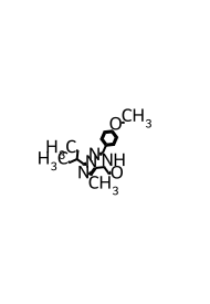 CCOc1ccc(C2=Nn3c(C(CC)CC)nc(C)c3C(C=O)N2)cc1